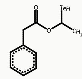 CC([TeH])OC(=O)Cc1ccccc1